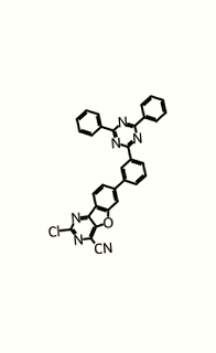 N#Cc1nc(Cl)nc2c1oc1cc(-c3cccc(-c4nc(-c5ccccc5)nc(-c5ccccc5)n4)c3)ccc12